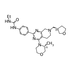 CCNC(=O)Nc1ccc(-c2nc3c(c(N4CCOC[C@@H]4C)n2)CCN(C[C@H]2CCOC2)C3)cc1